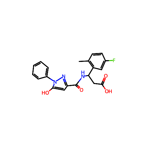 Cc1ccc(F)cc1C(CC(=O)O)NC(=O)c1cc(O)n(-c2ccccc2)n1